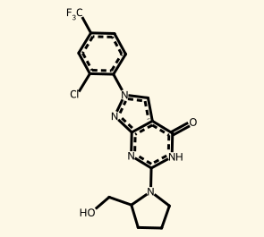 O=c1[nH]c(N2CCCC2CO)nc2nn(-c3ccc(C(F)(F)F)cc3Cl)cc12